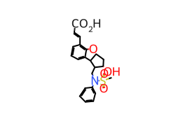 CS(=O)(=O)N(CC1C(O)CC2Oc3c(C=CC(=O)O)cccc3C21)c1ccccc1